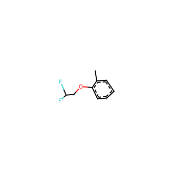 Cc1cc[c]cc1OCC(F)F